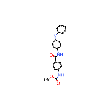 CC(C)(C)OC(=O)Nc1ccc(C(=O)Nc2ccc(Nc3ccccc3)cc2)cc1